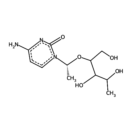 CC(O)C(O)C(CO)O[C@H](C)n1ccc(N)nc1=O